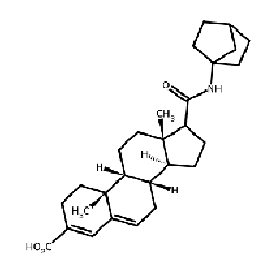 C[C@]12CCC(C(=O)O)=CC1=CC[C@@H]1[C@H]2CC[C@]2(C)C(C(=O)NC34CCC(CC3)C4)CC[C@@H]12